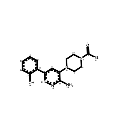 CCC(=O)N1CCN(c2cc(-c3ccccc3O)nnc2N)CC1